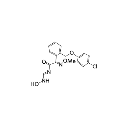 CO/N=C(/C(=O)/N=C/NO)c1ccccc1COc1ccc(Cl)cc1